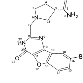 NC(=O)C1CCN(Cc2nc3c(oc4ccc(Br)cc43)c(=O)[nH]2)C1